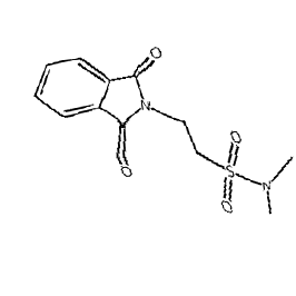 CN(C)S(=O)(=O)CCN1C(=O)c2ccccc2C1=O